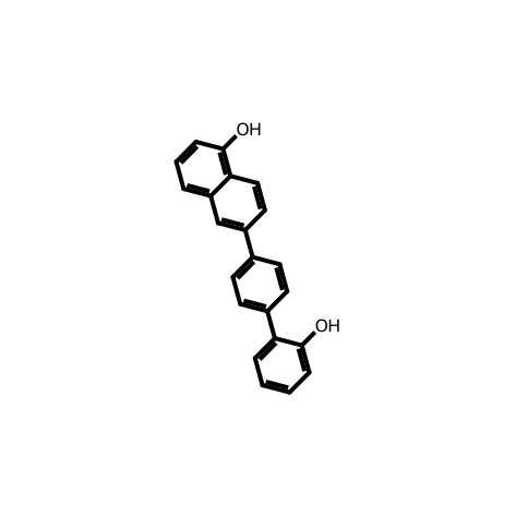 Oc1ccccc1-c1ccc(-c2ccc3c(O)cccc3c2)cc1